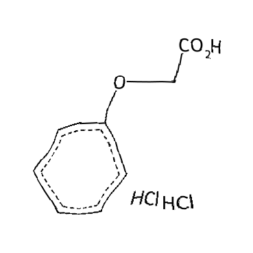 Cl.Cl.O=C(O)COc1ccccc1